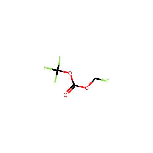 O=C(OCF)OC(F)(F)F